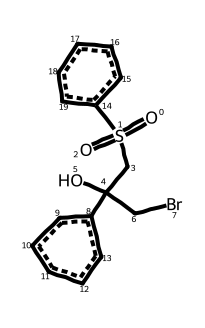 O=S(=O)(CC(O)(CBr)c1ccccc1)c1ccccc1